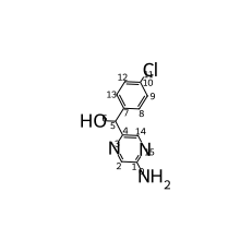 Nc1cnc(C(O)c2ccc(Cl)cc2)cn1